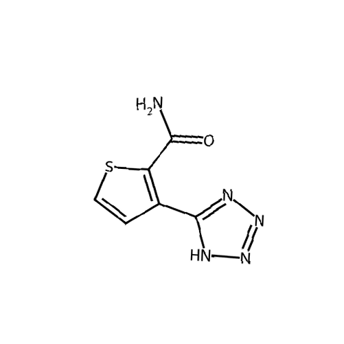 NC(=O)c1sccc1-c1nnn[nH]1